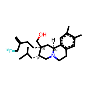 C=C(C[18F])CC[C@]1(CO)C[C@H]2c3cc(C)c(C)cc3CCN2C[C@@H]1CC(C)C